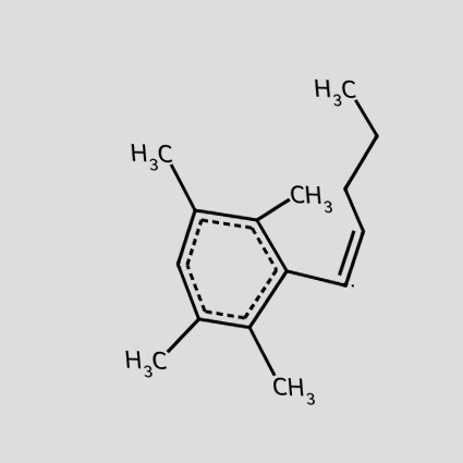 CCC/C=[C]\c1c(C)c(C)cc(C)c1C